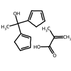 C=C(C)C(=O)O.CC(O)(C1=CC=CC1)C1=CC=CC1